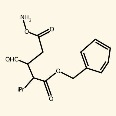 CC(C)C(C(=O)OCc1ccccc1)C(C=O)CC(=O)ON